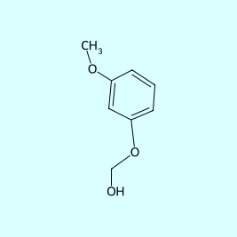 COc1cccc(OCO)c1